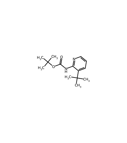 CC(C)(C)OC(=O)Nc1ncccc1C(C)(C)C